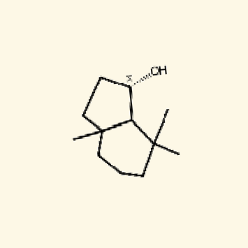 CC1(C)CCCC2(C)CC[C@H](O)C12